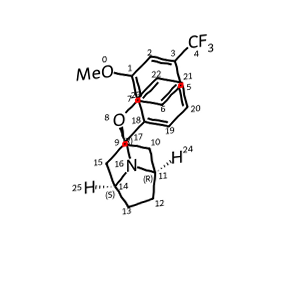 COc1cc(C(F)(F)F)ccc1O[C@H]1C[C@H]2CC[C@@H](C1)N2Cc1ccccc1